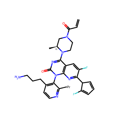 C=CC(=O)N1CCN(c2nc(=O)n(-c3c(CCCN)ccnc3C(C)C)c3nc(C4C=CC=C4F)c(F)cc23)[C@@H](C)C1